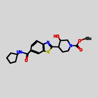 CC(C)(C)OC(=O)N1CCC(c2nc3ccc(C(=O)NC4CCCC4)cc3s2)C(O)C1